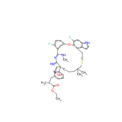 CCOC(=O)C(C)Cc1cccc(C2(/C=N\O)CCCC(C)(C)CSCCc3c(c(F)cc4[nH]ccc34)Oc3ccc(F)c(c3)/C(NC)=N/C2=N)c1